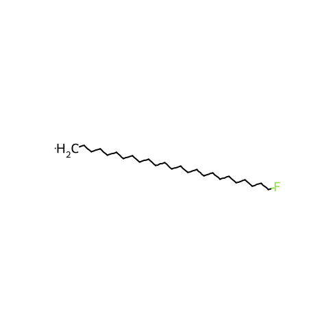 [CH2]CCCCCCCCCCCCCCCCCCCCCCCCF